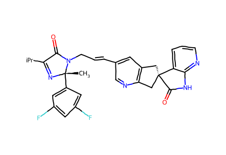 CC(C)C1=N[C@@](C)(c2cc(F)cc(F)c2)N(C/C=C/c2cnc3c(c2)C[C@@]2(C3)C(=O)Nc3ncccc32)C1=O